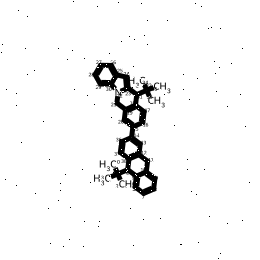 CC(C)(C)C1c2ccccc2Cc2cc(-c3ccc4c(c3)Cn3c(cc5ccccc53)C4C(C)(C)C)ccc21